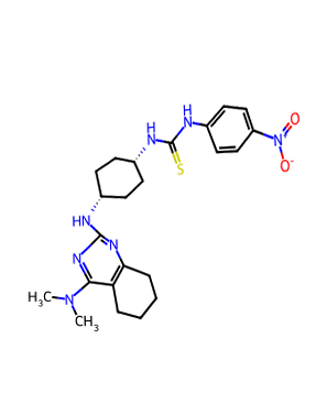 CN(C)c1nc(N[C@H]2CC[C@@H](NC(=S)Nc3ccc([N+](=O)[O-])cc3)CC2)nc2c1CCCC2